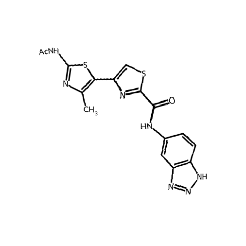 CC(=O)Nc1nc(C)c(-c2csc(C(=O)Nc3ccc4[nH]nnc4c3)n2)s1